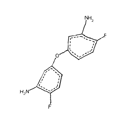 Nc1cc(Oc2ccc(F)c(N)c2)ccc1F